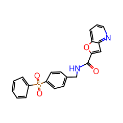 O=C(NCc1ccc(S(=O)(=O)c2ccccc2)cc1)c1cc2ncccc2o1